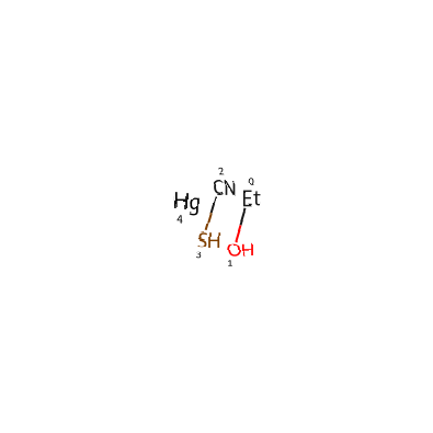 CCO.N#CS.[Hg]